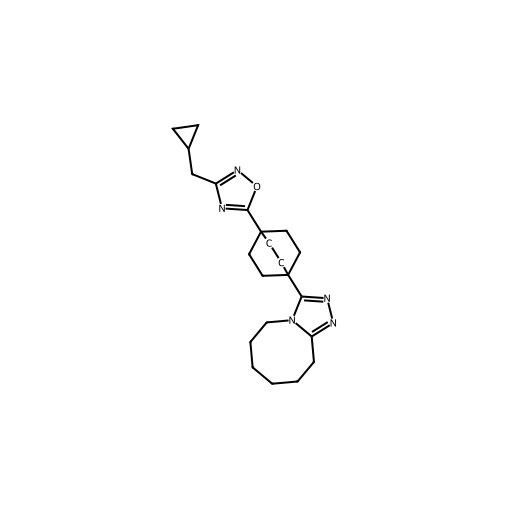 C1CCCn2c(nnc2C23CCC(c4nc(CC5CC5)no4)(CC2)CC3)CC1